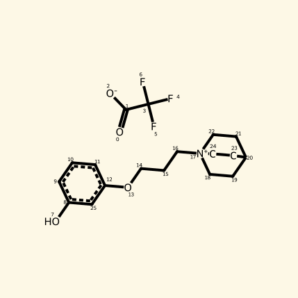 O=C([O-])C(F)(F)F.Oc1cccc(OCCC[N+]23CCC(CC2)CC3)c1